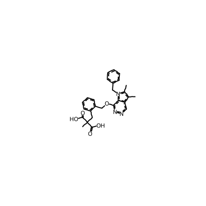 Cc1c(C)n(Cc2ccccc2)c2c(OCc3ccccc3CC(C)(C(=O)O)C(=O)O)nncc12